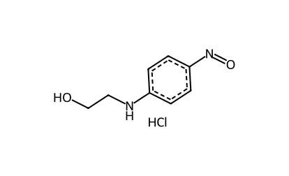 Cl.O=Nc1ccc(NCCO)cc1